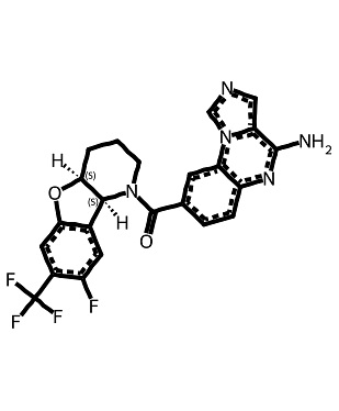 Nc1nc2ccc(C(=O)N3CCC[C@@H]4Oc5cc(C(F)(F)F)c(F)cc5[C@@H]43)cc2n2cncc12